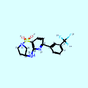 O=S1(=O)c2ccc(-c3cccc(C(F)(F)F)c3)nc2NC2CCN1C2